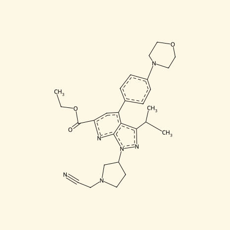 CCOC(=O)c1cc(-c2ccc(N3CCOCC3)cc2)c2c(C(C)C)nn(C3CCN(CC#N)C3)c2n1